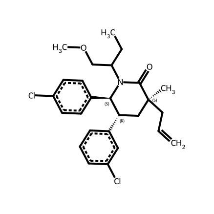 C=CC[C@@]1(C)C[C@H](c2cccc(Cl)c2)[C@@H](c2ccc(Cl)cc2)N(C(CC)COC)C1=O